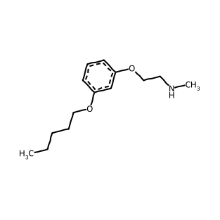 CCCCCOc1cccc(OCCNC)c1